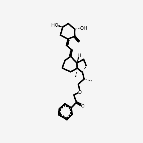 C=C1/C(=C\C=C2/CCC[C@]3(C)[C@@H]([C@H](C)COCC(=O)c4ccccc4)CC[C@@H]23)C[C@@H](O)C[C@@H]1O